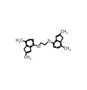 CC1=Cc2[c]([Zr][CH2][CH2][Zr][c]3ccc(C)c4c3C=C(C)C4)ccc(C)c2C1